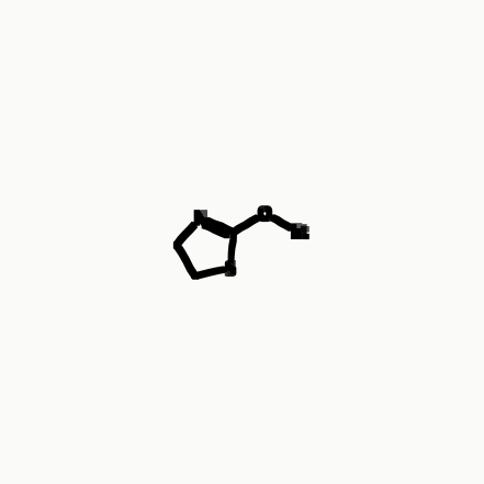 CCOC1=NCCS1